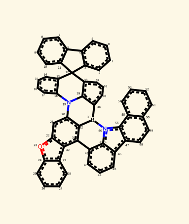 c1ccc2c(c1)-c1ccccc1C21c2ccccc2N2c3cc4oc5ccccc5c4c4c3B(c3cccc1c32)n1c2c-4cccc2c2ccc3ccccc3c21